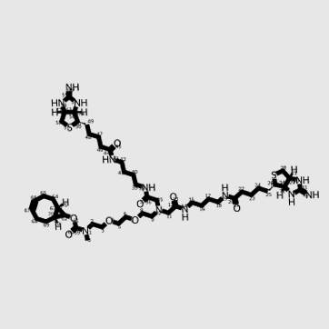 CN(CCOCCOCCN(CC(=O)NCCCCNC(=O)CCCC[C@@H]1SC[C@@H]2NC(=N)N[C@@H]21)CC(=O)NCCCCNC(=O)CCCC[C@@H]1SC[C@@H]2NC(=N)N[C@@H]21)C(=O)OC1[C@H]2CCC#CCC[C@@H]12